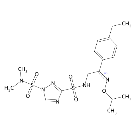 CCc1ccc(/C(CNS(=O)(=O)c2ncn(S(=O)(=O)N(C)C)n2)=N/OC(C)C)cc1